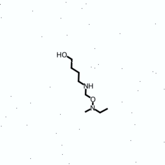 CCN(C)OCNCCCCO